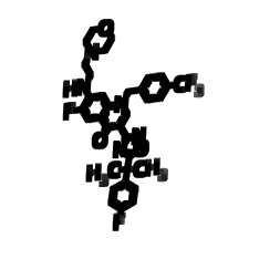 CC(C)(c1ccc(F)cc1)c1nc(-c2cn(Cc3ccc(C(F)(F)F)cc3)c3cc(NCCN4CCOCC4)c(F)cc3c2=O)no1